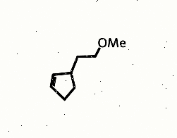 COCCC1C=CCC1